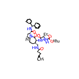 C#CCCC(=O)NC[C@H]1CC[C@H]2CC[C@@H](C(=O)NC(c3ccccc3)c3ccccc3)N2C(=O)[C@H]1NC(=O)[C@H](CC)NC(=O)OC(C)(C)C